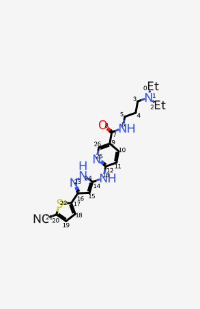 CCN(CC)CCCNC(=O)c1ccc(Nc2cc(-c3ccc(C#N)s3)n[nH]2)nc1